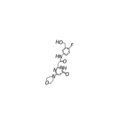 O=C(Cc1nc(N2CCOCC2)cc(=O)[nH]1)Nc1ccc(F)c(CO)c1